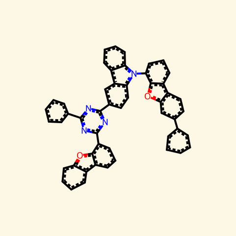 c1ccc(-c2ccc3c(c2)oc2c(-n4c5ccccc5c5cc(-c6nc(-c7ccccc7)nc(-c7cccc8c7oc7ccccc78)n6)ccc54)cccc23)cc1